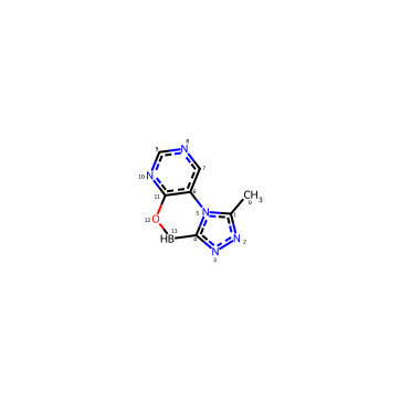 Cc1nnc2n1-c1cncnc1OB2